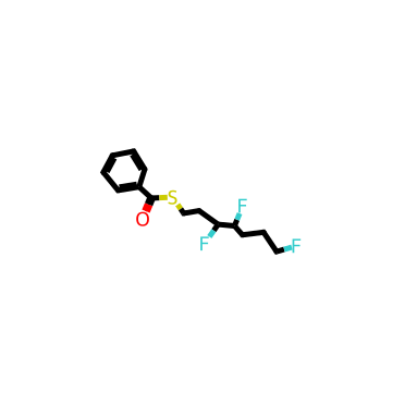 O=C(SCCC(F)C(F)CCCF)c1ccccc1